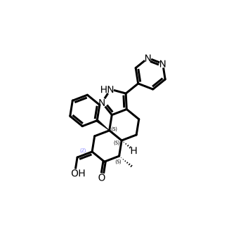 C[C@@H]1C(=O)/C(=C\O)C[C@]2(c3ccccc3)c3n[nH]c(-c4ccnnc4)c3CC[C@@H]12